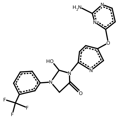 Nc1nccc(Oc2ccc(N3C(=O)CN(c4cccc(C(F)(F)F)c4)C3O)nc2)n1